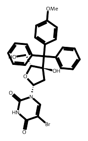 COc1ccc(C(c2ccccc2)(c2ccccc2)[C@]2(O)C[C@H](n3cc(Br)c(=O)[nH]c3=O)O[C@@H]2CO)cc1